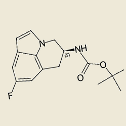 CC(C)(C)OC(=O)N[C@H]1Cc2cc(F)cc3ccn(c23)C1